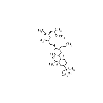 CCCC1=C(OC[C@@H](C)C/C(=C\C(C)OC)OC)C[C@@H]2O[C@H](O)[C@@H]3C=C(C(C)(O)CC)CCC3[C@@H]2C1